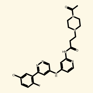 CC(=O)N1CCN(CCC(=O)Nc2cc(Nc3cnnc(-c4cc(Cl)ccc4F)c3)ccn2)CC1